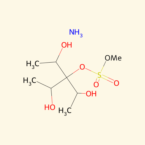 COS(=O)(=O)OC(C(C)O)(C(C)O)C(C)O.N